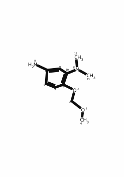 COCOc1ccc(N)cc1N(C)C